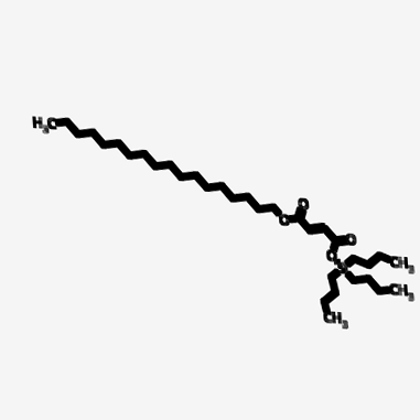 CCCCCCCCCCCCCCCCCCOC(=O)C=CC(=O)O[Si](CCCC)(CCCC)CCCC